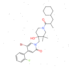 CC(CC1CCCCC1)C(=O)N1CCC(O)(Cn2cc(Br)c(-c3ccccc3F)cc2=O)C(C)(C)C1